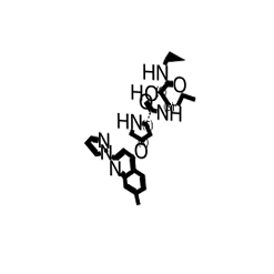 CCC[C@H](NC(=O)[C@@H]1C[C@@H](Oc2cc(-n3cccn3)nc3cc(C)ccc23)CN1)[C@H](O)C(=O)NC1CC1